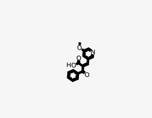 COc1cncc(/C=C(\C(=O)O)C(=O)c2ccccc2)c1